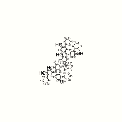 Cc1cc(C23CC4CC(C2)CC(c2cc(C)c(O)c(C(c5ccc(O)c(C6CCCCC6)c5)c5ccc(O)c(C6CCCCC6)c5)c2)(C4)C3)cc(C(c2ccc(O)c(C3CCCCC3)c2)c2ccc(O)c(C3CCCCC3)c2)c1O